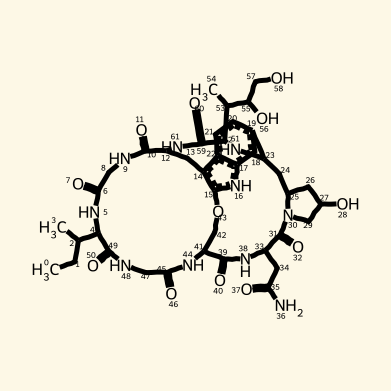 CCC(C)C1NC(=O)CNC(=O)C2Cc3c4[nH]c5cc(ccc35)C(CC3CC(O)CN3C(=O)C(CC(N)=O)NC(=O)C(CO4)NC(=O)CNC1=O)NC(C(C)C(O)CO)C(=O)N2